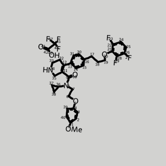 COc1ccc(OCCN(C(=O)C2=C(c3ccc(CCCOc4c(F)ccc(F)c4F)cc3)CCNC2)C2CC2)cc1.O=C(O)C(F)(F)F